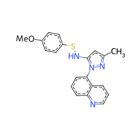 COc1ccc(SNc2cc(C)nn2-c2cccc3ncccc23)cc1